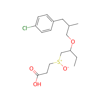 CCC(C[S+]([O-])CCC(=O)O)OCC(C)Cc1ccc(Cl)cc1